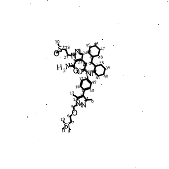 Cc1nn(COCC[Si](C)(C)C)c(C)c1-c1ccc(NC(=O)[C@H](c2cnn(CC[S+](C)[O-])c2C(N)=O)C(C2CCCCC2)C2CCCCC2)cc1